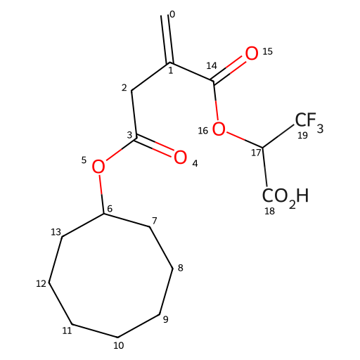 C=C(CC(=O)OC1CCCCCCC1)C(=O)OC(C(=O)O)C(F)(F)F